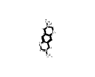 CN1COc2cc3c(cc2C1)OCN(C)C3